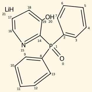 O=P(c1ccccc1)(c1ccccc1)c1ncccc1O.[LiH]